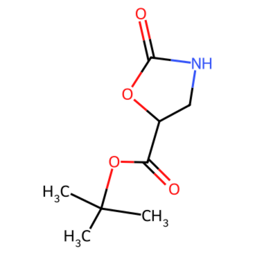 CC(C)(C)OC(=O)C1CNC(=O)O1